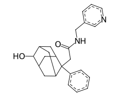 O=C(CC1(c2ccccc2)C2CC3CC1CC(C2)C3O)NCc1cccnc1